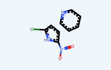 O=[N+]([O-])c1ccc(Cl)[nH]1.c1ccncc1